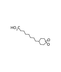 O=C(O)CCCCCCCC1CCS(=O)(=O)CC1